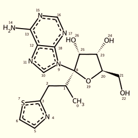 CC(Cc1nccs1)[C@@]1(n2cnc3c(N)ncnc32)O[C@H](CO)[C@@H](O)[C@H]1O